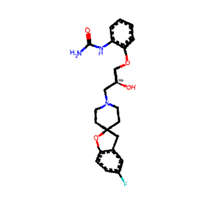 NC(=O)Nc1ccccc1OC[C@@H](O)CN1CCC2(CC1)Cc1cc(F)ccc1O2